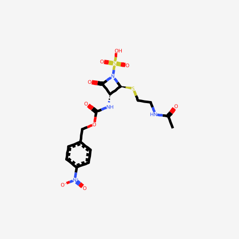 CC(=O)NCCS[C@H]1[C@H](NC(=O)OCc2ccc([N+](=O)[O-])cc2)C(=O)N1S(=O)(=O)O